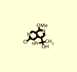 CCCC(C)(O)c1cnc(OC)c2cnc(Cl)cc12